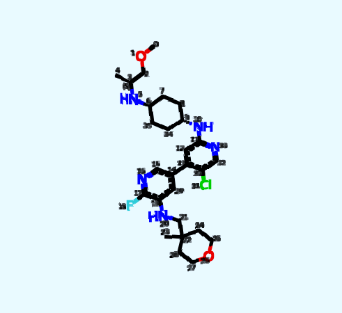 COC[C@H](C)N[C@H]1CC[C@H](Nc2cc(-c3cnc(F)c(NCC4(C)CCOCC4)c3)c(Cl)cn2)CC1